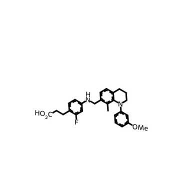 COc1cccc(N2CCCc3ccc(CNc4ccc(CCC(=O)O)c(F)c4)c(C)c32)c1